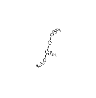 C=CC(=O)Oc1ccc(C#Cc2ccc(C#Cc3ccc(C#Cc4ccc(OC(=O)C=C)cc4)c(OC(=O)C=C)c3)cc2)cc1